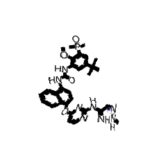 CN/N=C\C(=N)Nc1nccc(Oc2ccc(NC(=O)Nc3cc(C(C)(C)C)cc(P(C)(C)=O)c3OC)c3ccccc23)n1